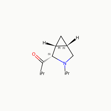 CC(C)C(=O)[C@@H]1[C@@H]2C[C@@H]2CN1C(C)C